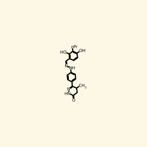 CCCc1c(O)ccc(/C=N\Nc2ccc(C3=NNC(=O)CC3C)cc2)c1O